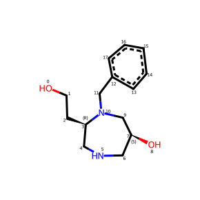 OCC[C@@H]1CNC[C@H](O)CN1Cc1ccccc1